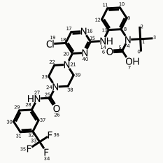 CC(C)(C)N(C(=O)O)c1ccccc1Nc1ncc(Cl)c(N2CCN(C(=O)Nc3cccc(C(F)(F)F)c3)CC2)n1